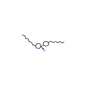 CCCCCCCC1CCC(C2(C#N)CCC(CCCCCCC)CC2)CC1